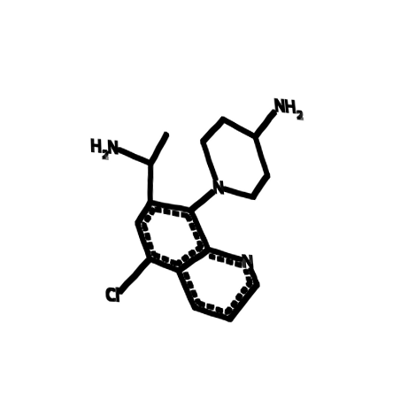 CC(N)c1cc(Cl)c2cccnc2c1N1CCC(N)CC1